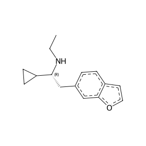 CCN[C@H](Cc1ccc2ccoc2c1)C1CC1